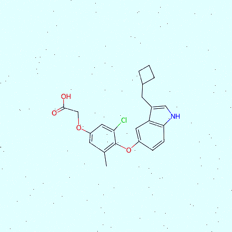 Cc1cc(OCC(=O)O)cc(Cl)c1Oc1ccc2[nH]cc(CC3CCC3)c2c1